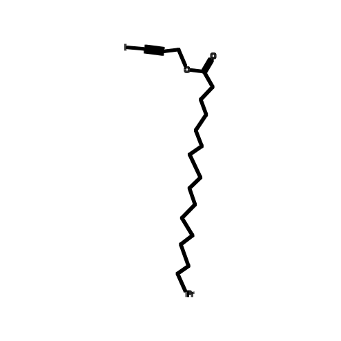 CC(C)CCCCCCCCCCCCCCC(=O)OCC#CI